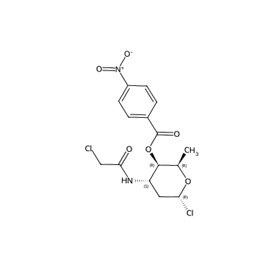 C[C@H]1O[C@H](Cl)C[C@H](NC(=O)CCl)[C@H]1OC(=O)c1ccc([N+](=O)[O-])cc1